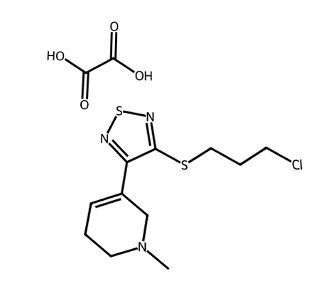 CN1CCC=C(c2nsnc2SCCCCl)C1.O=C(O)C(=O)O